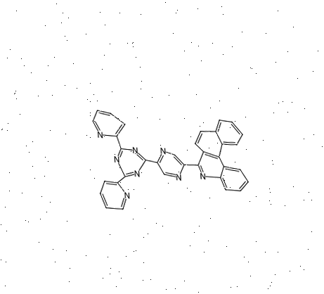 c1ccc(-c2nc(-c3ccccn3)nc(-c3cnc(-c4nc5ccccc5c5c4ccc4ccccc45)cn3)n2)nc1